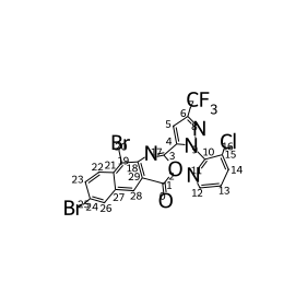 O=c1oc(-c2cc(C(F)(F)F)nn2-c2ncccc2Cl)nc2c(Br)c3ccc(Br)cc3cc12